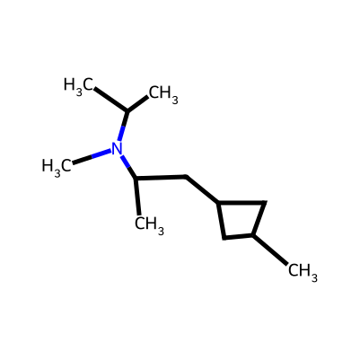 CC1CC(CC(C)N(C)C(C)C)C1